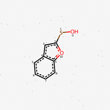 OSc1cc2ccccc2o1